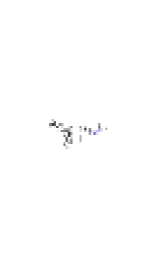 Cn1cc2c3cc(C(=O)NCCN/C=C\C(=N)C4CC4)ccc3n(-c3ccc(C(F)(F)F)cc3)c2n1